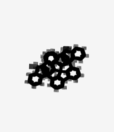 Oc1ccc(C2(c3ccc(O)c4ccccc34)c3c(cccc3-c3cccc4ccccc34)-c3cccc(-c4cccc5ccccc45)c32)c2ccccc12